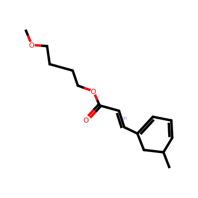 COCCCCOC(=O)/C=C/C1=CC=CC(C)C1